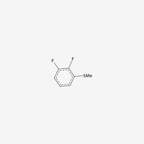 [CH2]Sc1cccc(F)c1F